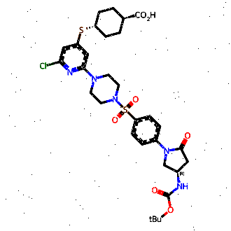 CC(C)(C)OC(=O)N[C@@H]1CC(=O)N(c2ccc(S(=O)(=O)N3CCN(c4cc(S[C@H]5CC[C@H](C(=O)O)CC5)cc(Cl)n4)CC3)cc2)C1